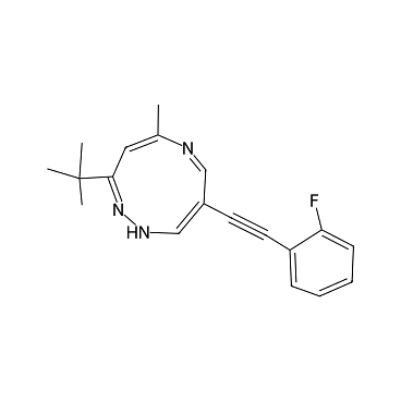 Cc1cc(C(C)(C)C)n[nH]cc(C#Cc2ccccc2F)cn1